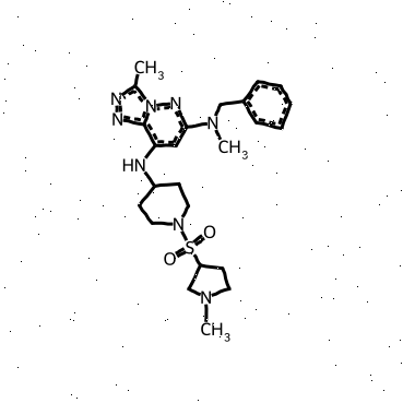 Cc1nnc2c(NC3CCN(S(=O)(=O)C4CCN(C)C4)CC3)cc(N(C)Cc3ccccc3)nn12